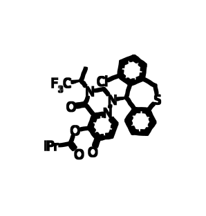 CC(C)C(=O)Oc1c2n(ccc1=O)N([C@@H]1c3ccccc3SCc3cccc(Cl)c31)CN([C@H](C)C(F)(F)F)C2=O